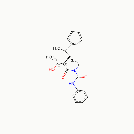 CC(C[C@@H](C(=O)N(CC(C)(C)C)C(=O)Nc1ccccc1)[C@H](O)C(=O)O)c1ccccc1